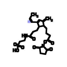 C=C1C=C(/C=C\C)C(CCC(=O)NCCS(=O)(=O)O)C1CCCC(=O)ON1C(=O)CCC1=O